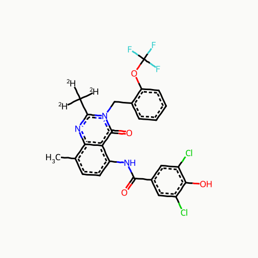 [2H]C([2H])([2H])c1nc2c(C)ccc(NC(=O)c3cc(Cl)c(O)c(Cl)c3)c2c(=O)n1Cc1ccccc1OC(F)(F)F